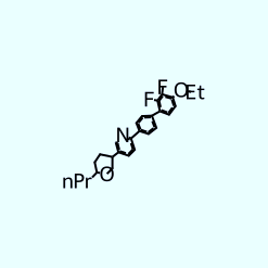 CCCC1CCC(c2ccc(-c3ccc(-c4ccc(OCC)c(F)c4F)cc3)nc2)CO1